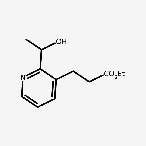 CCOC(=O)CCc1cccnc1C(C)O